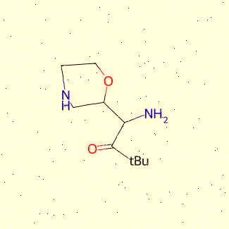 CC(C)(C)C(=O)C(N)C1CNCCO1